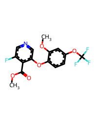 COC(=O)c1c(F)cncc1Oc1ccc(OC(F)(F)F)cc1OC